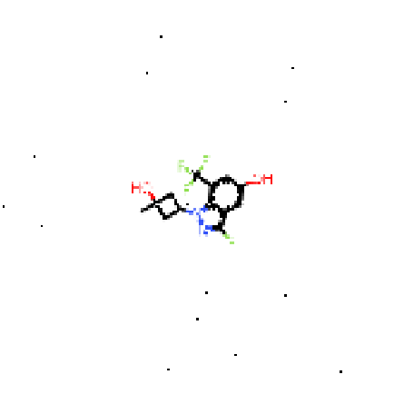 CC1(O)CC(n2nc(F)c3cc(O)cc(C(F)(F)F)c32)C1